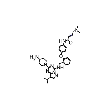 CC(C)c1cnn2c(NCc3ccccc3Oc3ccc(NC(=O)/C=C/CN(C)C)cc3)nc(N3CCC(N)CC3)nc12